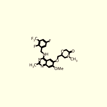 COc1cc2nc(C)nc(NCc3cc(F)cc(C(F)(F)F)c3F)c2cc1OCC1CN(C)C(=O)CO1